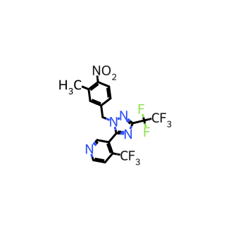 Cc1cc(Cn2nc(C(F)(F)C(F)(F)F)nc2-c2cnccc2C(F)(F)F)ccc1[N+](=O)[O-]